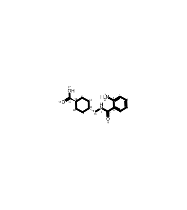 Nc1ccccc1C(=O)NC[C@H]1CC[C@H](C(=O)O)CC1